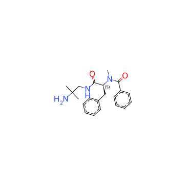 CN(C(=O)c1ccccc1)[C@@H](Cc1ccccc1)C(=O)NCC(C)(C)N